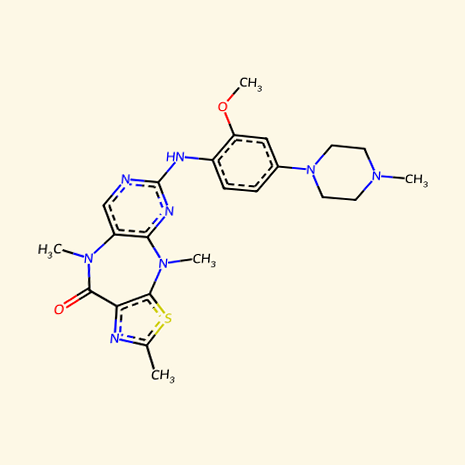 COc1cc(N2CCN(C)CC2)ccc1Nc1ncc2c(n1)N(C)c1sc(C)nc1C(=O)N2C